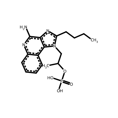 CCCCc1nc2c(N)nc3ccccc3c2n1CC(C)OP(=O)(O)O